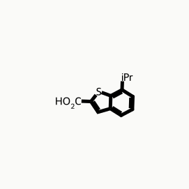 CC(C)c1cccc2cc(C(=O)O)sc12